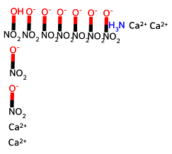 N.O=[N+]([O-])O.O=[N+]([O-])[O-].O=[N+]([O-])[O-].O=[N+]([O-])[O-].O=[N+]([O-])[O-].O=[N+]([O-])[O-].O=[N+]([O-])[O-].O=[N+]([O-])[O-].O=[N+]([O-])[O-].[Ca+2].[Ca+2].[Ca+2].[Ca+2]